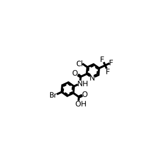 O=C(O)c1cc(Br)ccc1NC(=O)c1ncc(C(F)(F)F)cc1Cl